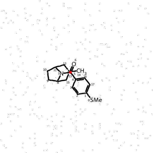 CSc1ccc(C(=O)N2C3CCC2CN(C)C3)cc1